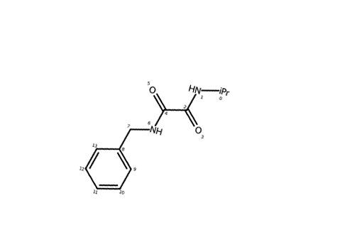 CC(C)NC(=O)C(=O)NCc1ccccc1